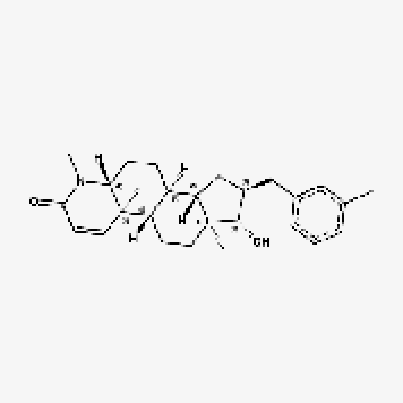 Cc1cccc(C[C@@H]2C[C@H]3[C@@H]4CC[C@H]5N(C)C(=O)C=C[C@]5(C)[C@H]4CC[C@]3(C)[C@H]2O)c1